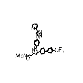 CNC(=O)CCc1cc(-c2ccc(-c3ccc(C(F)(F)F)cc3)cc2)n(-c2ccc(-n3cc(-c4ccccn4)nn3)cc2)n1